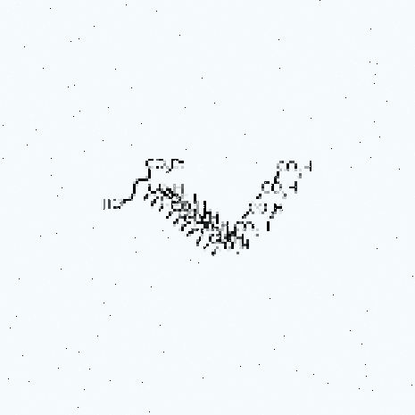 CC(=O)O.CC(=O)O.CC(=O)O.CC(=O)O.CC(=O)O.CC(=O)O.CC(=O)O.CC(=O)O.CC(=O)O.CC(=O)O.CC(=O)O.CC(=O)O.CC(=O)O.CC(=O)O.CCOC(=O)CCCO